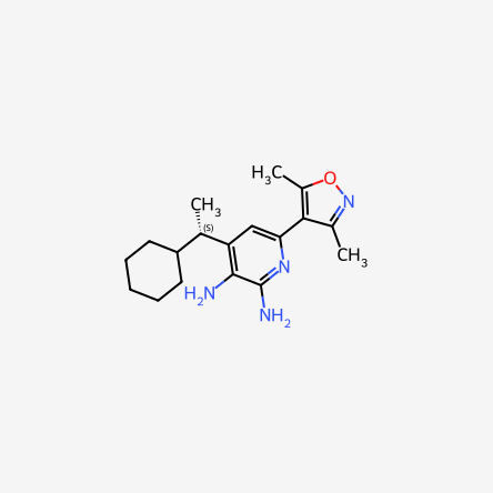 Cc1noc(C)c1-c1cc([C@@H](C)C2CCCCC2)c(N)c(N)n1